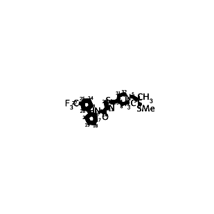 CSSC(C)(C)CN1CCC(c2nc(C(=O)Nc3ccccc3-c3cccc(C(F)(F)F)c3)cs2)CC1